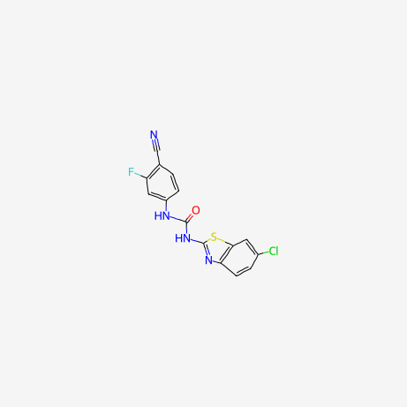 N#Cc1ccc(NC(=O)Nc2nc3ccc(Cl)cc3s2)cc1F